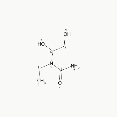 C[CH]N(C(N)=O)C(O)CO